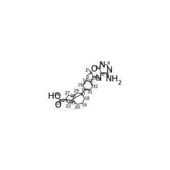 CC1(C)Oc2ncnc(N)c2N=C1c1ccc(C23CCCC4CC(C(=O)O)(CC4C2)C3)cc1